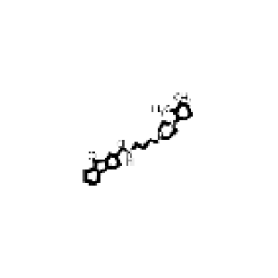 Cc1cccc(N2CCN(CCCCNC(=O)c3ccc4c(c3)C(=O)c3ccccc3-4)CC2)c1C